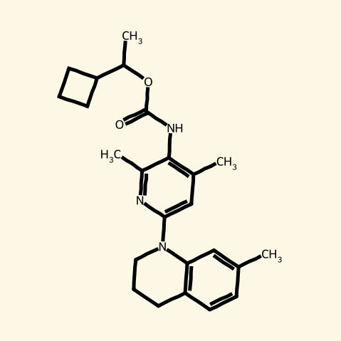 Cc1ccc2c(c1)N(c1cc(C)c(NC(=O)OC(C)C3CCC3)c(C)n1)CCC2